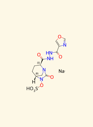 O=C(NNC(=O)[C@@H]1CC[C@@H]2CN1C(=O)N2OS(=O)(=O)O)c1cocn1.[Na]